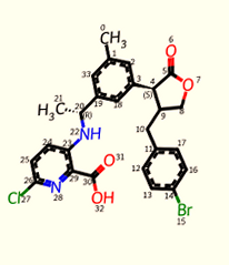 Cc1cc([C@H]2C(=O)OCC2Cc2ccc(Br)cc2)cc([C@@H](C)Nc2ccc(Cl)nc2C(=O)O)c1